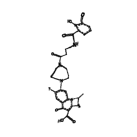 CC1Sc2c(C(=O)O)c(=O)c3cc(F)c(N4CCN(C(=O)CCNC(=O)c5cccc(=O)n5O)CC4)cc3n21